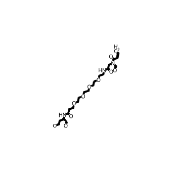 C/C=C\C(=O)N(C=O)CC(=O)NCCOCCOCCOCCOCCC(=O)NC(C=O)CC=O